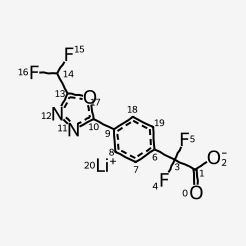 O=C([O-])C(F)(F)c1ccc(-c2nnc(C(F)F)o2)cc1.[Li+]